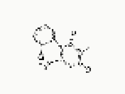 Cn1c(=O)cc(N)n(-c2ccccc2Cl)c1=O